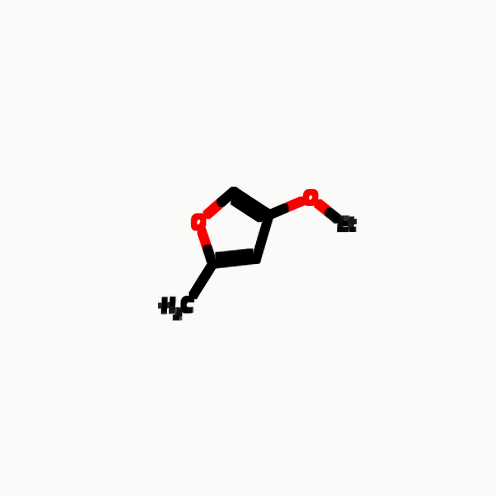 [CH2]c1cc(OCC)co1